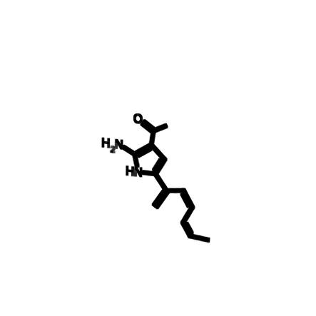 C=C(/C=C\C=C/C)c1cc(C(C)=O)c(N)[nH]1